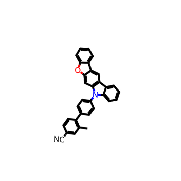 Cc1cc(C#N)ccc1-c1ccc(-n2c3ccccc3c3cc4c(cc32)oc2ccccc24)cc1